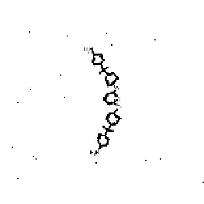 CC(C)(c1ccc(N)cc1)c1ccc(Oc2cccc(Oc3ccc(C(C)(C)c4ccc(N)cc4)cc3)n2)cc1